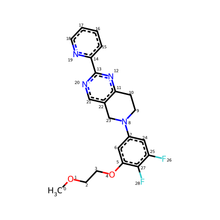 COCCOc1cc(N2CCc3nc(-c4ccccn4)ncc3C2)cc(F)c1F